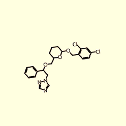 Clc1ccc(COC2CCCC(COC(Cn3cncn3)c3ccccc3)O2)c(Cl)c1